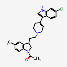 CC(=O)N1CC(CCN2CC=C(c3c[nH]c4cc(Cl)ccc34)CC2)c2cc(C)ccc21